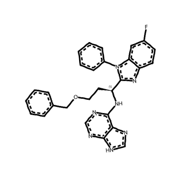 Fc1ccc2nc([C@H](CCOCc3ccccc3)Nc3ncnc4[nH]cnc34)n(-c3ccccc3)c2c1